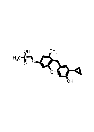 Cc1cc(OCP(C)(=O)O)cc(C)c1Cc1ccc(O)c(C2CC2)c1